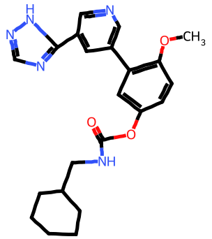 COc1ccc(OC(=O)NCC2CCCCC2)cc1-c1cncc(-c2ncn[nH]2)c1